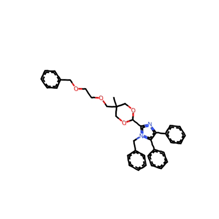 CC1(COCCOCc2ccccc2)COC(c2nc(-c3ccccc3)c(-c3ccccc3)n2Cc2ccccc2)OC1